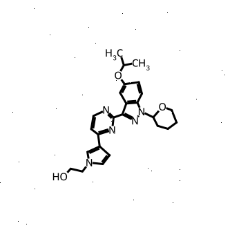 CC(C)Oc1ccc2c(c1)c(-c1nccc(-c3ccn(CCO)c3)n1)nn2C1CCCCO1